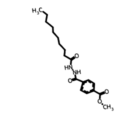 CCCCCCCCCC(=O)NNC(=O)c1ccc(C(=O)OC)cc1